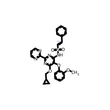 COc1ccccc1Oc1c(NS(=O)(=O)/C=C/c2ccccc2)nc(-c2ncccn2)nc1OCC1CC1